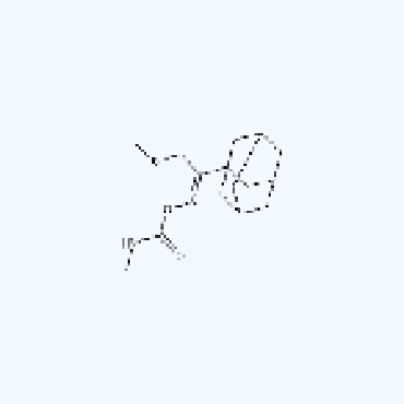 CNC(=O)ON=C(CSC)C12CC3CC(CC(C3)C1)C2